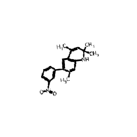 CC1=CC(C)(C)Nc2cc(C)c(-c3cccc([N+](=O)[O-])c3)cc21